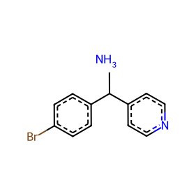 CC(c1ccncc1)c1ccc(Br)cc1.N